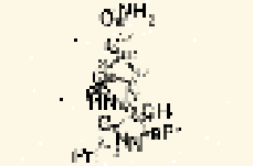 CCCc1nn(CCC(C)C)c(=O)c(C2=Nc3ccc(OCC(N)=O)cc3S(=O)(=O)N2)c1O